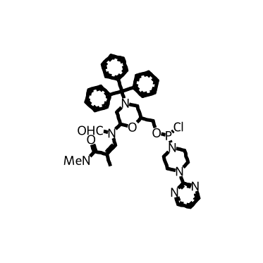 CNC(=O)/C(C)=C\N(C=O)C1CN(C(c2ccccc2)(c2ccccc2)c2ccccc2)CC(COP(Cl)N2CCN(c3ncccn3)CC2)O1